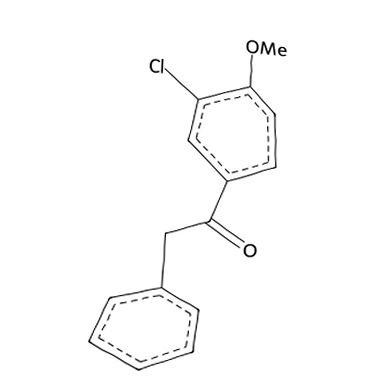 COc1ccc(C(=O)Cc2ccccc2)cc1Cl